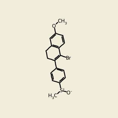 COc1ccc2c(c1)CCC(c1ccc([S+](C)[O-])cc1)=C2Br